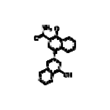 NC(=O)c1cn(-c2cc(O)c3ccccc3c2)c2ccccc2c1=O